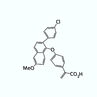 C=C(C(=O)O)c1ccc(Oc2c(-c3ccc(Cl)cc3)ccc3cc(OC)ccc23)cc1